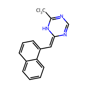 ClC(Cl)(Cl)C1=NC=NC(=Cc2cccc3ccccc23)N1